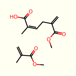 C=C(C)C(=O)OC.C=C(CC=C(C)C(=O)O)C(=O)OC